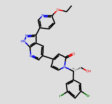 CCOc1ccc(-c2n[nH]c3ncc(-c4ccn([C@H](CO)c5cc(F)cc(Br)c5)c(=O)c4)cc23)cn1